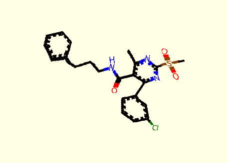 Cc1nc(S(C)(=O)=O)nc(-c2cccc(Cl)c2)c1C(=O)NCCCc1ccccc1